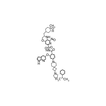 CC(C)c1ccccc1[C@@H]1CCCN1C1CC2(CCN(c3ccc(C(=O)NS(=O)(=O)c4cc5c(c(N=O)n4)NC(CC4CCC(C)(O)CC4)CO5)c(Oc4cnc5[nH]ccc5c4)c3)CC2)C1